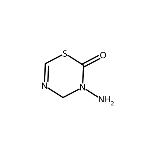 NN1CN=CSC1=O